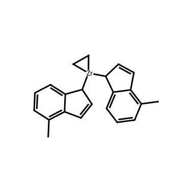 Cc1cccc2c1C=C[CH]2[Zr]1([CH]2C=Cc3c(C)cccc32)[CH2][CH2]1